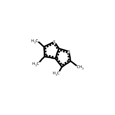 Cc1sc2sc(C)c(C)c2c1C